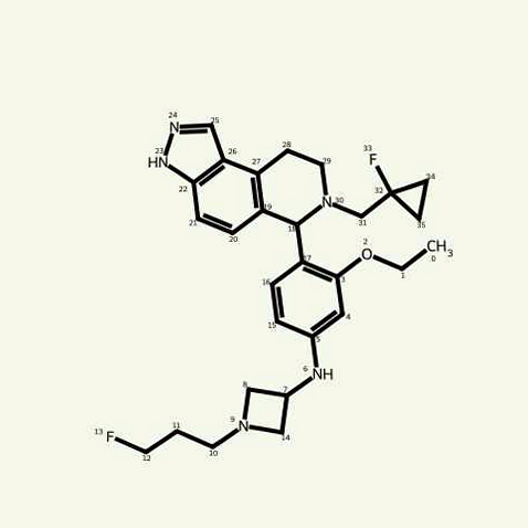 CCOc1cc(NC2CN(CCCF)C2)ccc1C1c2ccc3[nH]ncc3c2CCN1CC1(F)CC1